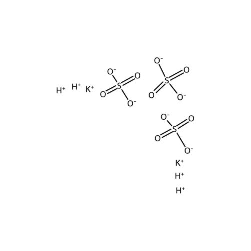 O=S(=O)([O-])[O-].O=S(=O)([O-])[O-].O=S(=O)([O-])[O-].[H+].[H+].[H+].[H+].[K+].[K+]